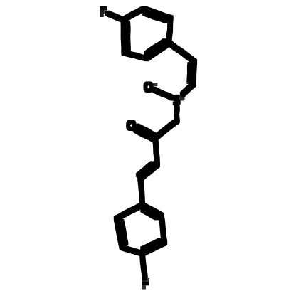 O=C(/C=C/c1ccc(F)cc1)C[S+]([O-])/C=C\c1ccc(F)cc1